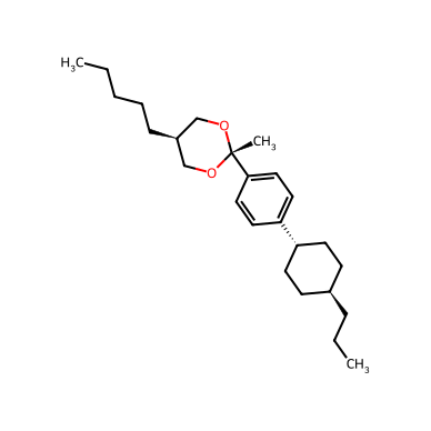 CCCCC[C@H]1CO[C@](C)(c2ccc([C@H]3CC[C@H](CCC)CC3)cc2)OC1